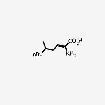 CCCCC(C)C/C=C(\N)C(=O)O